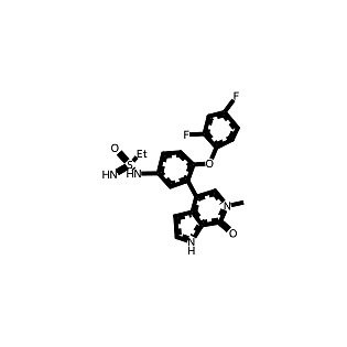 CCS(=N)(=O)Nc1ccc(Oc2ccc(F)cc2F)c(-c2cn(C)c(=O)c3[nH]ccc23)c1